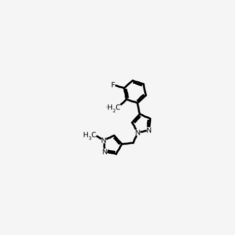 [CH2]c1c(F)cccc1-c1cnn(Cc2cnn(C)c2)c1